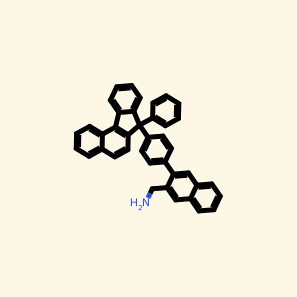 NCc1cc2ccccc2cc1-c1ccc(C2(c3ccccc3)c3ccccc3-c3c2ccc2ccccc32)cc1